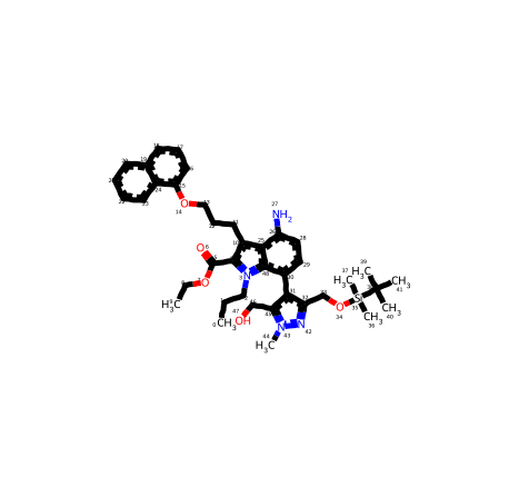 CCCn1c(C(=O)OCC)c(CCCOc2cccc3ccccc23)c2c(N)ccc(-c3c(CO[Si](C)(C)C(C)(C)C)nn(C)c3CO)c21